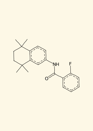 CC1(C)CCC(C)(C)c2cc(NC(=O)c3ccccc3F)ccc21